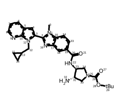 Cn1c(-c2cc3cccnc3n2CC2CC2)nc2cc(C(=O)N[C@H]3CN(C(=O)OC(C)(C)C)C[C@@H]3N)ccc21